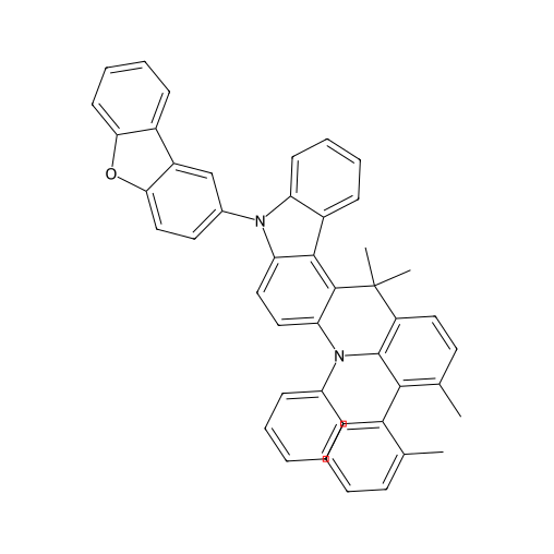 Cc1ccccc1-c1c(C)ccc2c1N(c1ccccc1)c1ccc3c(c1C2(C)C)c1ccccc1n3-c1ccc2oc3ccccc3c2c1